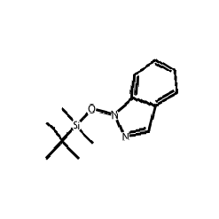 CC(C)(C)[Si](C)(C)On1ncc2ccccc21